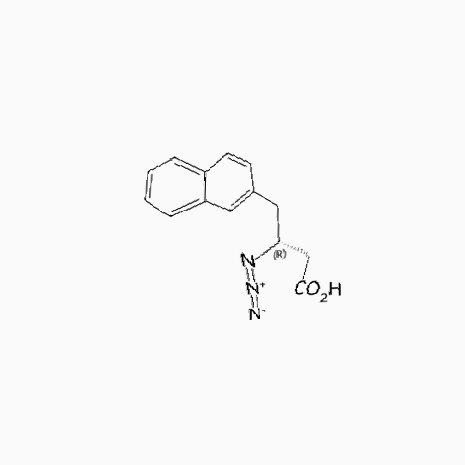 [N-]=[N+]=N[C@@H](CC(=O)O)Cc1ccc2ccccc2c1